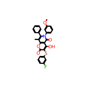 COc1cccc(-n2c(-c3ccccc3)c(C)c3oc(=O)c(Sc4cccc(F)c4)c(O)c3c2=O)c1